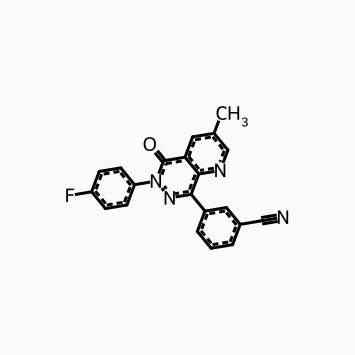 Cc1cnc2c(-c3cccc(C#N)c3)nn(-c3ccc(F)cc3)c(=O)c2c1